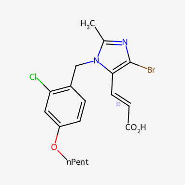 CCCCCOc1ccc(Cn2c(C)nc(Br)c2/C=C/C(=O)O)c(Cl)c1